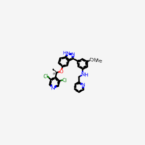 COc1cc(NCc2ccccn2)cc(-c2n[nH]c3ccc(O[C@H](C)c4c(Cl)cncc4Cl)cc23)c1